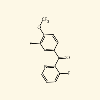 O=C(c1ccc(OC(F)(F)F)c(F)c1)c1ncccc1F